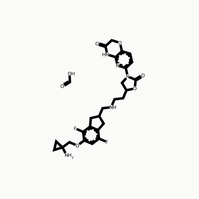 NC1(COc2cc(F)c3c(c2F)CC(CNCCC2CN(c4ccc5c(n4)NC(=O)CO5)C(=O)O2)C3)CC1.O=CO